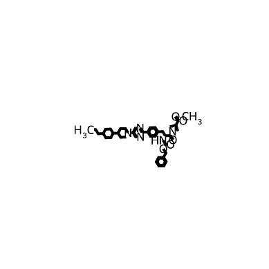 CCCC1CCC(C2CCN(c3cnc(-c4ccc(CC(NC(=O)OCc5ccccc5)C(=O)N5CC(C(=O)OC)C5)cc4)nc3)CC2)CC1